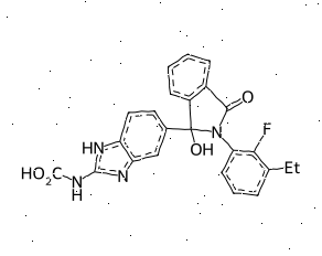 CCc1cccc(N2C(=O)c3ccccc3C2(O)c2ccc3[nH]c(NC(=O)O)nc3c2)c1F